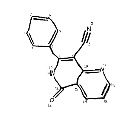 N#Cc1c(-c2ccccc2)[nH]c(=O)c2cccnc12